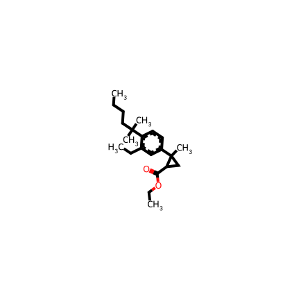 CCCCC(C)(C)c1ccc(C2(C)CC2C(=O)OCC)cc1CC